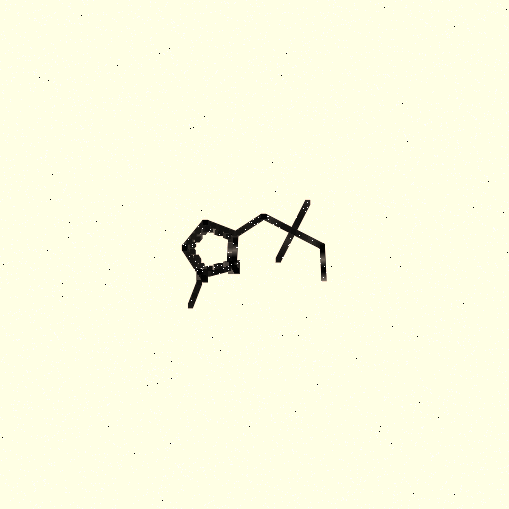 CCC(C)(C)Cc1ccn(C)n1